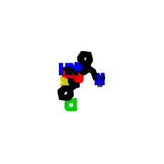 Cc1c(S(=O)(=O)Nn2cc(CCN(C)C)c3ccccc32)sc2ccc(Cl)cc12